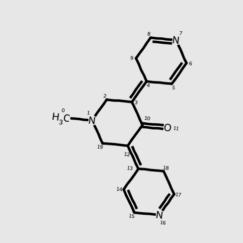 CN1CC(=C2C=CN=CC2)C(=O)C(=C2C=CN=CC2)C1